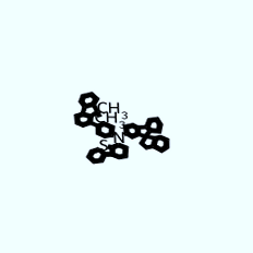 CC1(C)c2ccccc2-c2cccc(-c3ccc(N(c4ccc5c(c4)C4(CCc6ccccc64)c4ccccc4-5)c4cccc5c4sc4ccccc45)cc3)c21